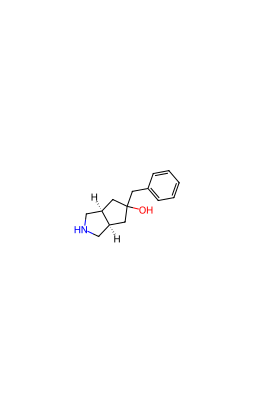 OC1(Cc2ccccc2)C[C@H]2CNC[C@H]2C1